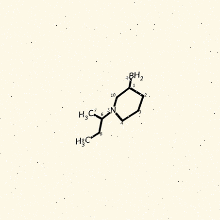 BC1CCCN(C(C)CC)C1